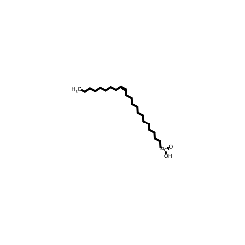 CCCCCCCC/C=C\CCCCCCCCCCCCC[13C](=O)O